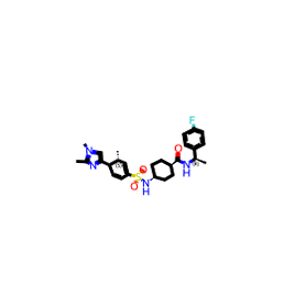 Cc1nc(C2C=CC(S(=O)(=O)N[C@H]3CC[C@H](C(=O)N[C@H](C)c4ccc(F)cc4)CC3)=C[C@H]2C)cn1C